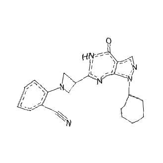 N#Cc1ccccc1N1CC(c2nc3c(cnn3C3CCCCC3)c(=O)[nH]2)C1